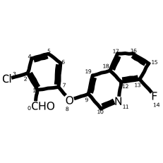 O=Cc1c(Cl)cccc1Oc1cnc2c(F)cccc2c1